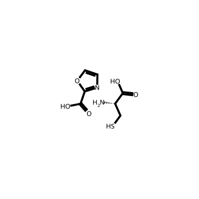 N[C@@H](CS)C(=O)O.O=C(O)c1ncco1